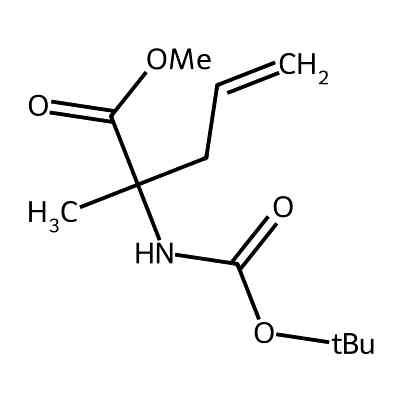 C=CCC(C)(NC(=O)OC(C)(C)C)C(=O)OC